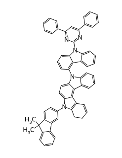 CC1(C)c2ccccc2-c2cc(-n3c4c(c5c6c7ccccc7n(-c7cccc8c7c7ccccc7n8-c7nc(-c8ccccc8)cc(-c8ccccc8)n7)c6ccc53)C=CCC4)ccc21